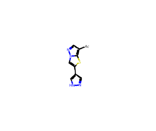 CC(=O)c1cnn2cc(-c3cn[nH]c3)sc12